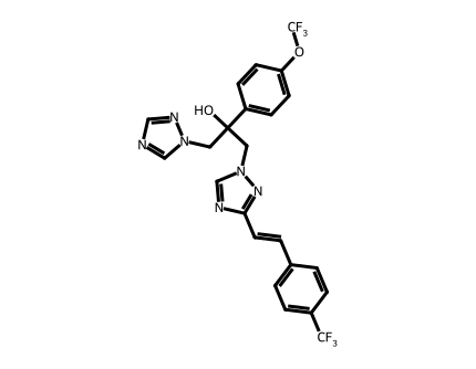 OC(Cn1cncn1)(Cn1cnc(/C=C/c2ccc(C(F)(F)F)cc2)n1)c1ccc(OC(F)(F)F)cc1